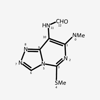 CNc1nc(SC)n2cnnc2c1NC=O